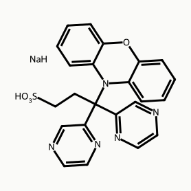 O=S(=O)(O)CCC(c1cnccn1)(c1cnccn1)N1c2ccccc2Oc2ccccc21.[NaH]